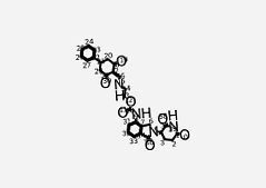 O=C1CCC(N2Cc3c(NC(=O)OCCNC=C4C(=O)CC(c5ccccc5)CC4=O)cccc3C2=O)C(=O)N1